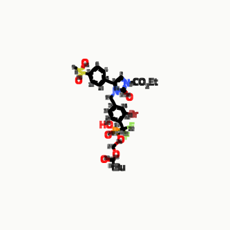 CCOC(=O)n1cc(-c2ccc(S(C)(=O)=O)cc2)n(Cc2ccc(C(F)(F)P(=O)(O)OCOC(=O)C(C)(C)C)c(Br)c2)c1=O